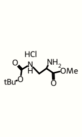 COC(=O)C(N)CNC(=O)OC(C)(C)C.Cl